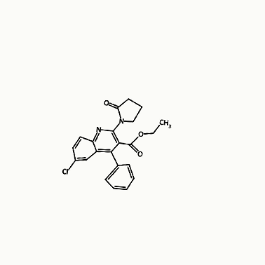 CCOC(=O)c1c(N2CCCC2=O)nc2ccc(Cl)cc2c1-c1ccccc1